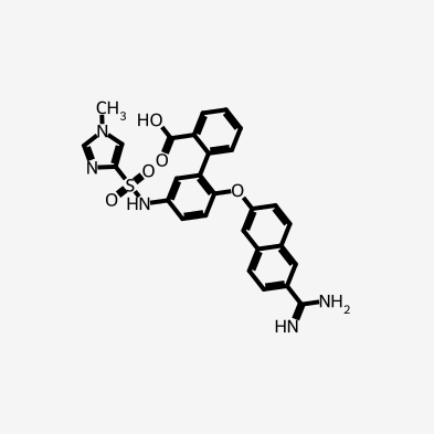 Cn1cnc(S(=O)(=O)Nc2ccc(Oc3ccc4cc(C(=N)N)ccc4c3)c(-c3ccccc3C(=O)O)c2)c1